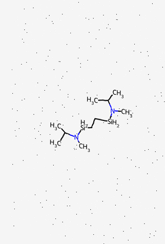 CC(C)N(C)[SiH2]CC[SiH2]N(C)C(C)C